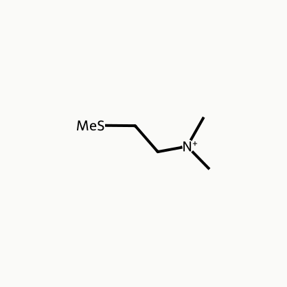 CSCC[N+](C)C